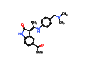 CNC(=O)c1ccc2c(c1)C(=C(C)Nc1ccc(CN(C)C)cc1)C(=O)N2